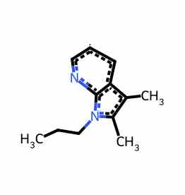 CCCn1c(C)c(C)c2c[c]cnc21